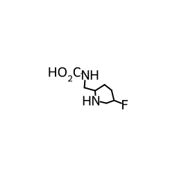 O=C(O)NCC1CCC(F)CN1